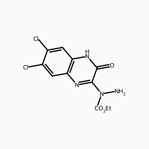 CCOC(=O)N(N)c1nc2cc(Cl)c(Cl)cc2[nH]c1=O